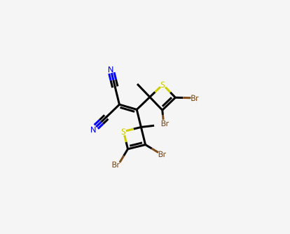 CC1(C(=C(C#N)C#N)C2(C)SC(Br)=C2Br)SC(Br)=C1Br